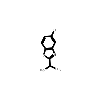 CC(C)c1nc2cc(Cl)ccc2o1